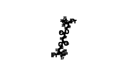 CC(C)C(CCOC(=O)/C=C/C(=O)OCCC(C(C)C)[Si](C)(C)C)[Si](C)(C)C